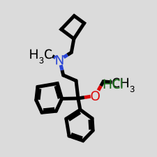 CCOC(CCN(C)CC1CCC1)(c1ccccc1)c1ccccc1.Cl